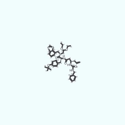 C=CC[C@H](CC(=O)N[C@@H](Cc1ccc(OC(C)(C)C)cc1)C(=O)N(Cc1cccc2scnc12)CC(OCC)OCC)NC(=O)NCc1ccccc1